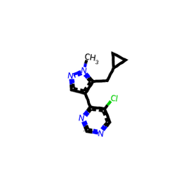 Cn1ncc(-c2n[c]ncc2Cl)c1CC1CC1